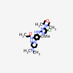 C=CC(=O)Nc1cc(Nc2ncc(Cl)c(N3C(C)COCC3C)n2)c(OC)cc1N1CCC(N(C)C)CC1